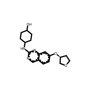 OC1CCC(Nc2ncc3ccc(O[C@H]4CCOC4)cc3n2)CC1